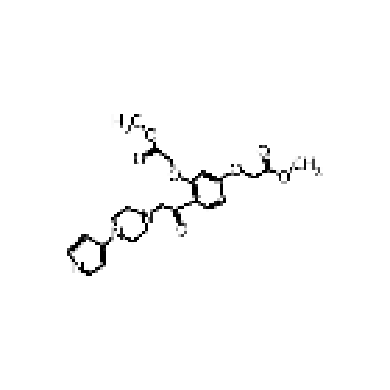 COC(=O)COc1ccc(C(=O)CN2CCN(c3ccncc3)CC2)c(OCC(=O)OC)c1